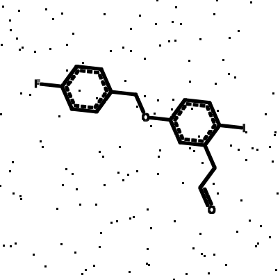 O=CCc1cc(OCc2ccc(F)cc2)ccc1I